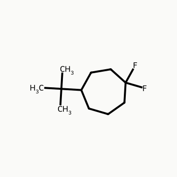 CC(C)(C)C1CCCC(F)(F)CC1